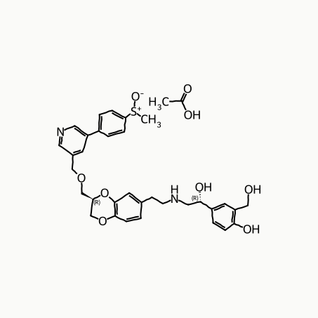 CC(=O)O.C[S+]([O-])c1ccc(-c2cncc(COC[C@@H]3COc4ccc(CCNC[C@H](O)c5ccc(O)c(CO)c5)cc4O3)c2)cc1